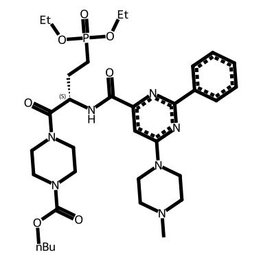 CCCCOC(=O)N1CCN(C(=O)[C@H](CCP(=O)(OCC)OCC)NC(=O)c2cc(N3CCN(C)CC3)nc(-c3ccccc3)n2)CC1